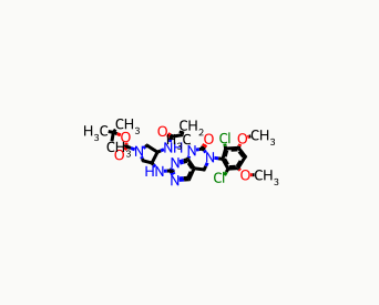 C=CC(=O)NC1CN(C(=O)OC(C)(C)C)CC1Nc1ncc2c(n1)N(C)C(=O)N(c1c(Cl)c(OC)cc(OC)c1Cl)C2